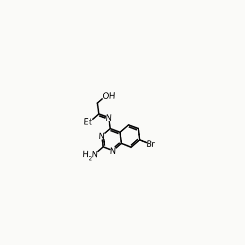 CC/C(CO)=N\c1nc(N)nc2cc(Br)ccc12